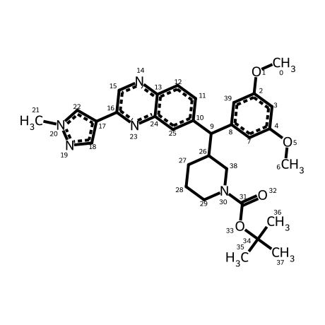 COc1cc(OC)cc(C(c2ccc3ncc(-c4cnn(C)c4)nc3c2)C2CCCN(C(=O)OC(C)(C)C)C2)c1